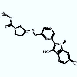 Cn1c(-c2cncc(CN[C@@H]3CCN(C(=O)OC(C)(C)C)C3)c2)c(C#N)c2ccc(Cl)cc21